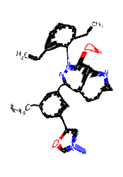 C=Cc1cccc(C=C)c1-n1nc(-c2cc(C)cc(-c3cnco3)c2)c2cccnc2c1=O